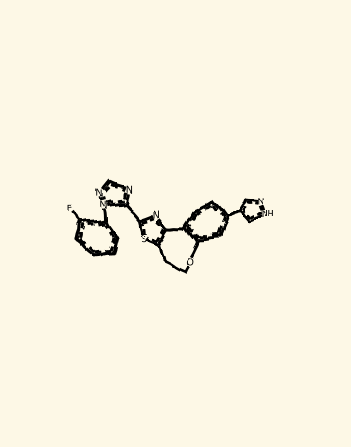 Fc1ccccc1-n1ncnc1-c1nc2c(s1)CCOc1cc(-c3cn[nH]c3)ccc1-2